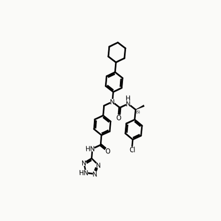 C[C@H](NC(=O)N(Cc1ccc(C(=O)Nc2nn[nH]n2)cc1)c1ccc(C2CCCCC2)cc1)c1ccc(Cl)cc1